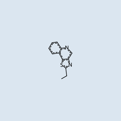 CCc1nc2cnc3ccccc3c2s1